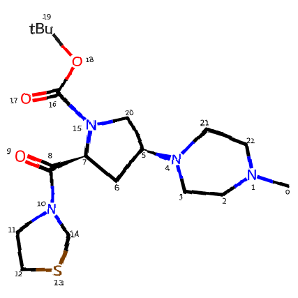 CN1CCN([C@H]2C[C@@H](C(=O)N3CCSC3)N(C(=O)OC(C)(C)C)C2)CC1